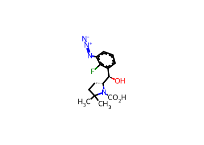 CC1(C)CC[C@H]([C@H](O)c2cccc(N=[N+]=[N-])c2F)N1C(=O)O